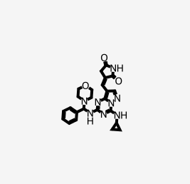 O=C1CC(=Cc2cnn3c(NC4CC4)nc(NC(c4ccccc4)N4CCOCC4)nc23)C(=O)N1